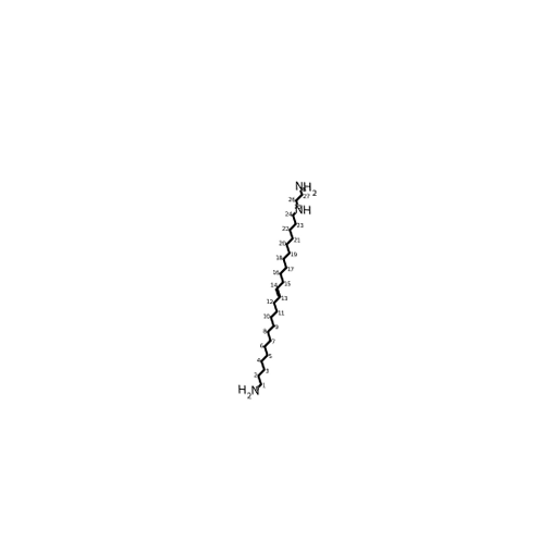 NCCCCCCCCCCCCC=CCCCCCCCCCCNCCN